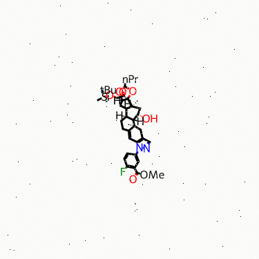 CCCC1O[C@@H]2C[C@H]3[C@@H]4CCC5=Cc6c(cnn6-c6ccc(F)c(C(=O)OC)c6)C[C@]5(C)[C@H]4[C@@H](O)C[C@]3(C)[C@]2(C(=O)CO[Si](C)(C)C(C)(C)C)O1